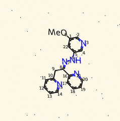 COc1cncc(NN=C(Cc2ccccn2)c2ccccn2)c1